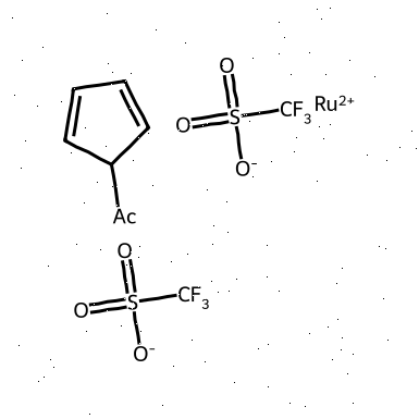 CC(=O)C1C=CC=C1.O=S(=O)([O-])C(F)(F)F.O=S(=O)([O-])C(F)(F)F.[Ru+2]